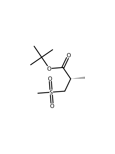 C[C@H](CS(C)(=O)=O)C(=O)OC(C)(C)C